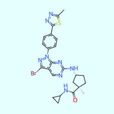 Cc1nnc(-c2ccc(-n3nc(Br)c4cnc(N[C@@H]5CC[C@@](C)(C(=O)NC6CC6)C5)nc43)cc2)s1